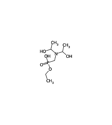 CCOP(=O)(O)CN(C(C)O)C(C)O